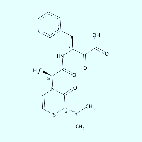 CC(C)[C@@H]1SC=CN([C@@H](C)C(=O)N[C@@H](Cc2ccccc2)C(=O)C(=O)O)C1=O